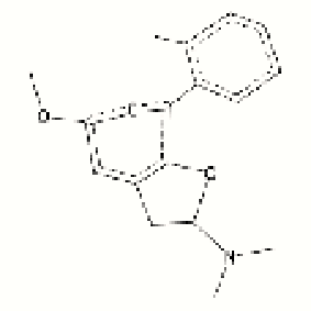 COc1cc2c(c(-c3ccccc3C)c1)OC(N(C)C)C2